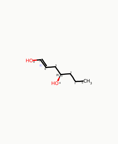 CCC[C@@H](O)C/C=C/O